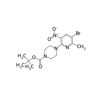 Cc1nc(N2CCN(C(=O)OC(C)(C)C)CC2)c([N+](=O)[O-])cc1Br